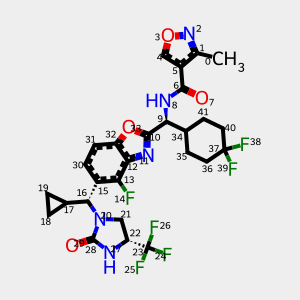 Cc1nocc1C(=O)N[C@H](c1nc2c(F)c([C@@H](C3CC3)N3C[C@H](C(F)(F)F)NC3=O)ccc2o1)C1CCC(F)(F)CC1